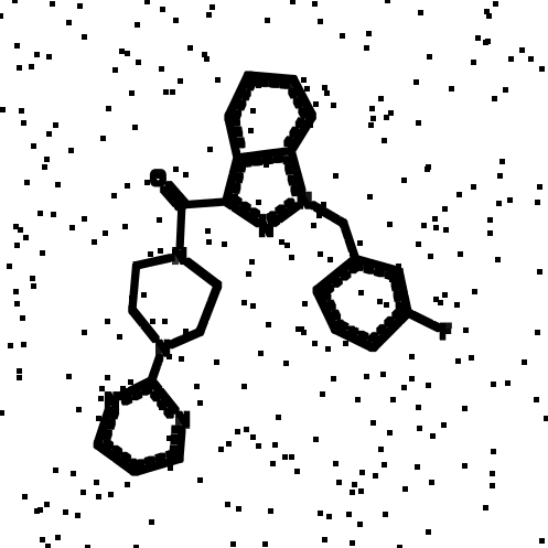 O=C(c1nn(Cc2cccc(F)c2)c2ccccc12)N1CCN(c2ncccn2)CC1